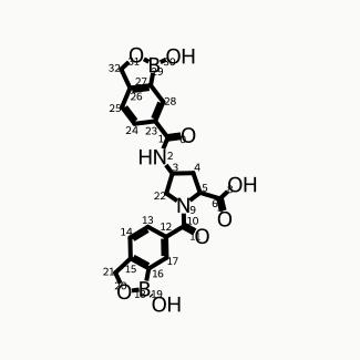 O=C(NC1CC(C(=O)O)N(C(=O)c2ccc3c(c2)B(O)OC3)C1)c1ccc2c(c1)B(O)OC2